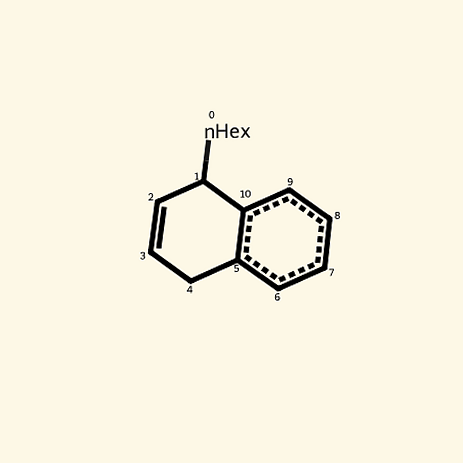 [CH2]CCCCCC1C=CCc2ccccc21